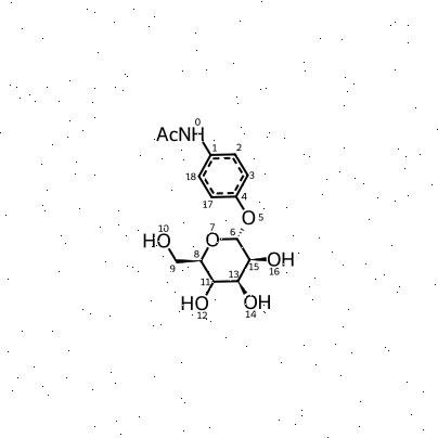 CC(=O)Nc1ccc(O[C@H]2O[C@H](CO)C(O)[C@H](O)[C@@H]2O)cc1